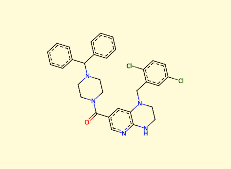 O=C(c1cnc2c(c1)N(Cc1cc(Cl)ccc1Cl)CCN2)N1CCN(C(c2ccccc2)c2ccccc2)CC1